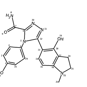 COc1ccc(-n2c(C(N)=O)nnc2-c2ccc3c(c2O)CCN3C)cc1